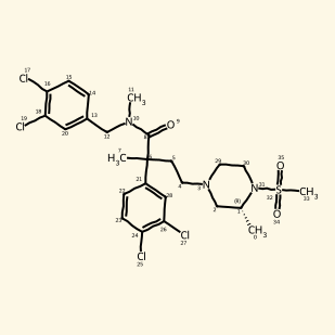 C[C@@H]1CN(CCC(C)(C(=O)N(C)Cc2ccc(Cl)c(Cl)c2)c2ccc(Cl)c(Cl)c2)CCN1S(C)(=O)=O